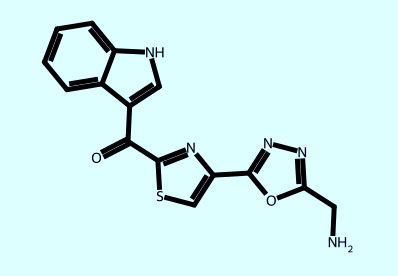 NCc1nnc(-c2csc(C(=O)c3c[nH]c4ccccc34)n2)o1